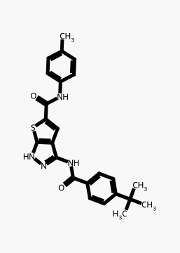 Cc1ccc(NC(=O)c2cc3c(NC(=O)c4ccc(C(C)(C)C)cc4)n[nH]c3s2)cc1